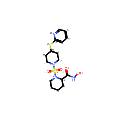 O=C(NO)C1CCCCN1S(=O)(=O)N1CCC(Sc2ccccn2)CC1